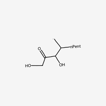 [CH2]C(CCCCC)C(O)C(=O)CO